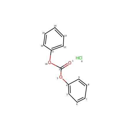 Cl.O=C(Oc1ccccc1)Oc1ccccc1